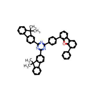 CC1(C)c2ccccc2-c2ccc(-c3nc(-c4ccc(-c5cccc6c5oc5c(-c7ccccc7)cccc56)cc4)nc(-c4ccc5c(c4)C(C)(C)c4ccccc4-5)n3)cc21